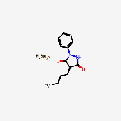 CCCCC1C(=O)NN(c2ccccc2)C1=O.S.[SnH2]